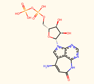 NC1=CC(=O)Nc2ncnc3c2c1cn3[C@@H]1O[C@H](COP(=O)(O)OP(=O)(O)O)[C@@H](O)[C@H]1O